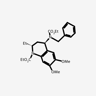 CCOC(=O)N(Cc1ccccc1)[C@@H]1C[C@@H](CC)N(C(=O)OCC)c2cc(OC)c(OC)cc21